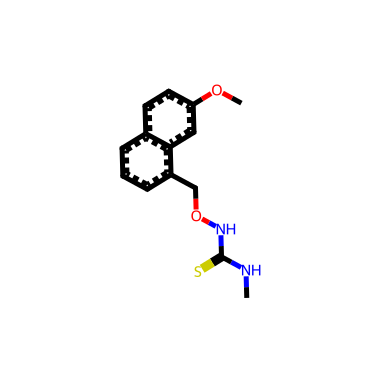 CNC(=S)NOCc1cccc2ccc(OC)cc12